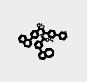 C/C(=N\C(=C/C(C)c1ccc(C2=CCCc3ccccc32)cc1)c1ccc(-c2cccnc2)cc1)c1cccc(-c2cccc3c2C=CCC=C3)c1